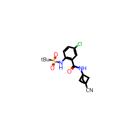 CC(C)(C)S(=O)(=O)Nc1ccc(Cl)cc1C(=O)NC12CC(C#N)(C1)C2